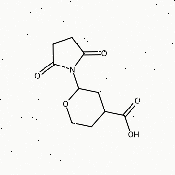 O=C(O)C1CCOC(N2C(=O)CCC2=O)C1